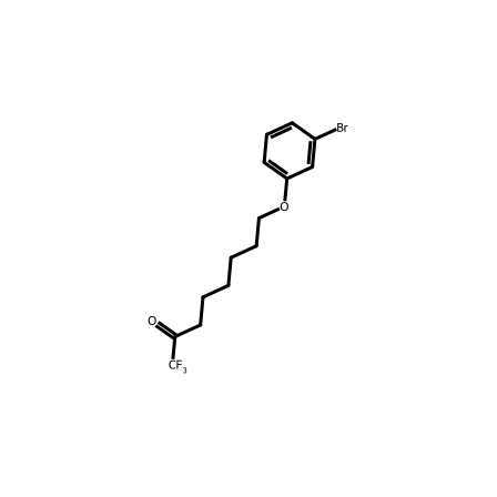 O=C(CCCCCCOc1cccc(Br)c1)C(F)(F)F